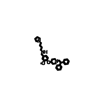 COc1cc(CNCCCCN2CCCC2)ccc1OC1CCN(CC(c2ccccc2)c2ccccc2)CC1